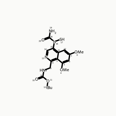 COc1cc(OC)c2c(CNC(=O)OC(C)(C)C)ncc(N(S)C(N)=O)c2c1